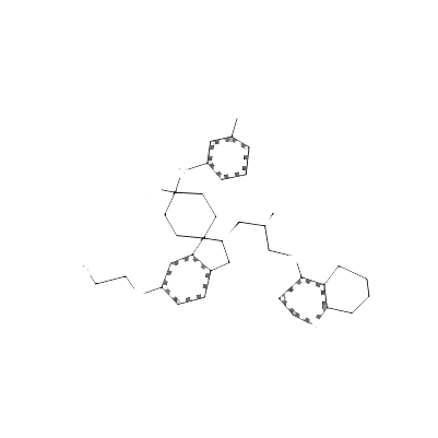 C[C@@H](COc1ccnc2c1[C@H](C)CCC2)C[C@H]1Cc2ccc(OCCN)cc2C12CCC(Nc1cccc(Cl)c1)(C(=O)O)CC2